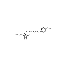 CCCCC[SiH]1CCC(CCCCc2ccc(CCC)cc2)CC1